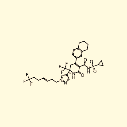 O=C1N[C@@](c2cnn(CCC=CCCC(F)(F)F)c2)(C(F)(F)F)CC(c2ccc3c(c2)CCCC3)=C1C(=O)NS(=O)(=O)C1CC1